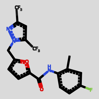 Cc1cc(F)ccc1NC(=O)c1ccc(Cn2nc(C(F)(F)F)cc2C(F)(F)F)o1